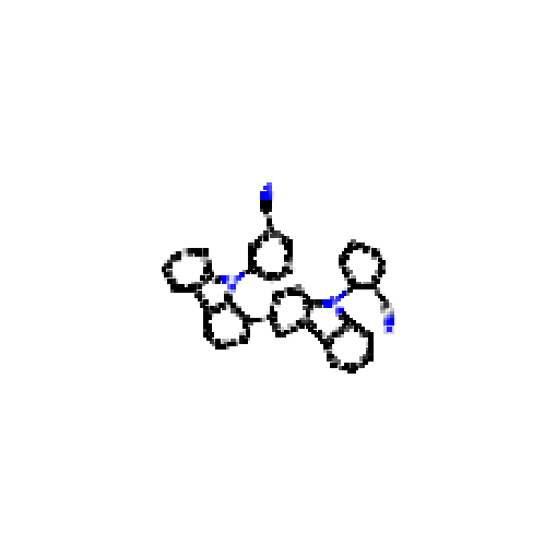 N#Cc1cccc(-n2c3ccccc3c3cccc(-c4ccc5c(c4)c4ccccc4n5-c4ccccc4C#N)c32)c1